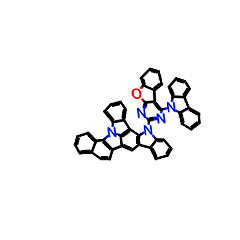 c1ccc2c(c1)ccc1c3cc4c5ccccc5n(-c5nc(-n6c7ccccc7c7ccccc76)c6c(n5)oc5ccccc56)c4c4c5ccccc5n(c21)c34